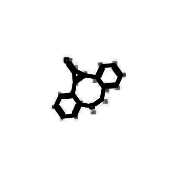 O=c1c2c1-c1ccccc1OCc1ccccc1-2